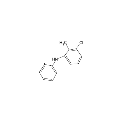 Cc1c(Cl)cccc1Nc1[c]cccc1